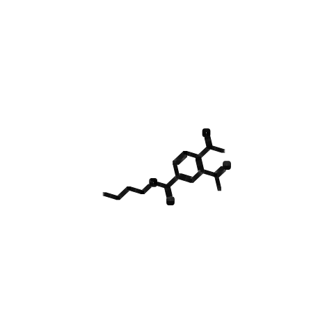 CCCCOC(=O)c1ccc(C(C)=O)c(C(C)=O)c1